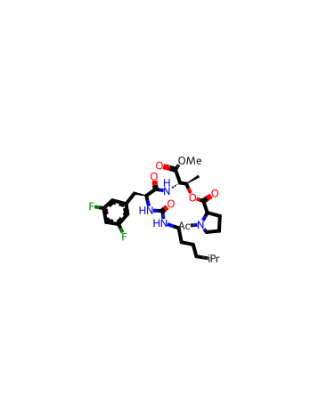 COC(=O)[C@@H](NC(=O)[C@H](Cc1cc(F)cc(F)c1)NC(=O)NCCCCC(C)C)[C@@H](C)OC(=O)C1CCCN1C(C)=O